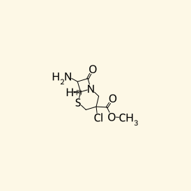 COC(=O)C1(Cl)CS[C@@H]2C(N)C(=O)N2C1